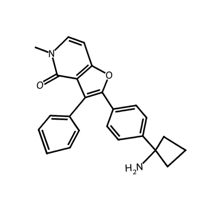 Cn1ccc2oc(-c3ccc(C4(N)CCC4)cc3)c(-c3ccccc3)c2c1=O